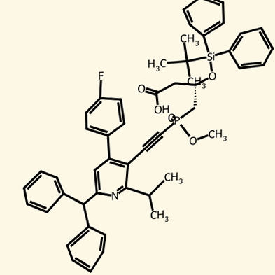 COP(=O)(C#Cc1c(-c2ccc(F)cc2)cc(C(c2ccccc2)c2ccccc2)nc1C(C)C)C[C@H](CC(=O)O)O[Si](c1ccccc1)(c1ccccc1)C(C)(C)C